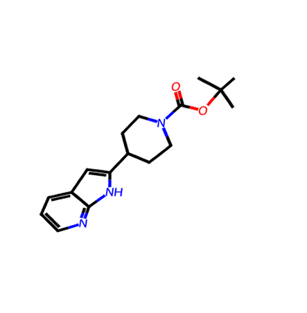 CC(C)(C)OC(=O)N1CCC(c2cc3cccnc3[nH]2)CC1